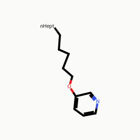 CCCCCCCCCCCCOc1[c]nccc1